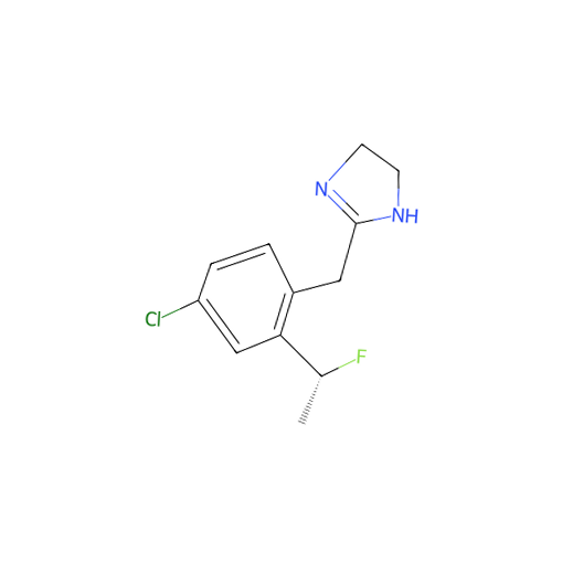 C[C@@H](F)c1cc(Cl)ccc1CC1=NCCN1